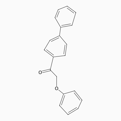 O=C(COc1ccccc1)c1ccc(-c2ccccc2)cc1